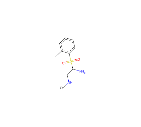 Cc1ccccc1S(=O)(=O)C(N)CNC(C)C